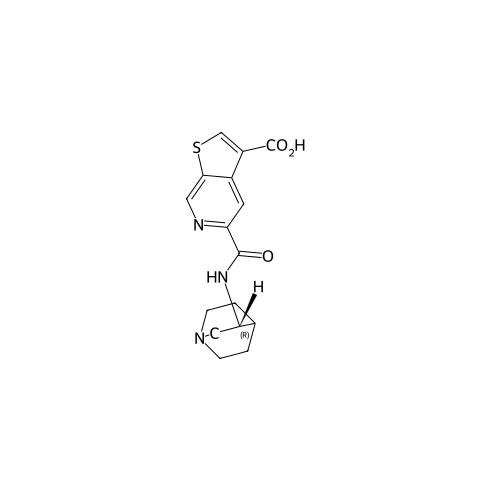 O=C(N[C@H]1CN2CCC1CC2)c1cc2c(C(=O)O)csc2cn1